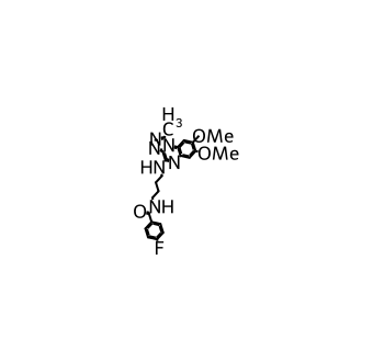 COc1cc2nc(NCCCCNC(=O)c3ccc(F)cc3)c3nnc(C)n3c2cc1OC